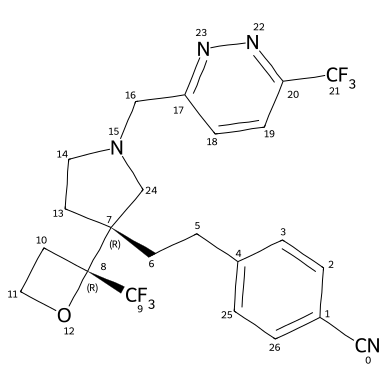 N#Cc1ccc(CC[C@@]2([C@@]3(C(F)(F)F)CCO3)CCN(Cc3ccc(C(F)(F)F)nn3)C2)cc1